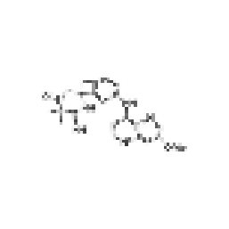 COc1cnc2c(Nc3ccc4c(c3)[C@]3(C4)C[S+]([O-])C(C)(C)C(=N)N3)ccnc2c1